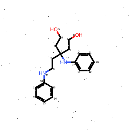 OCCC(CCO)(CCNc1ccccc1)Nc1ccccc1